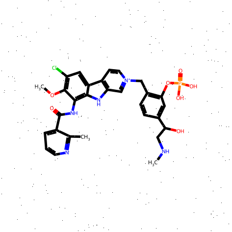 CNCC(O)c1ccc(C[n+]2ccc3c(c2)[nH]c2c(NC(=O)c4cccnc4C)c(OC)c(Cl)cc23)c(OP(=O)(O)O)c1